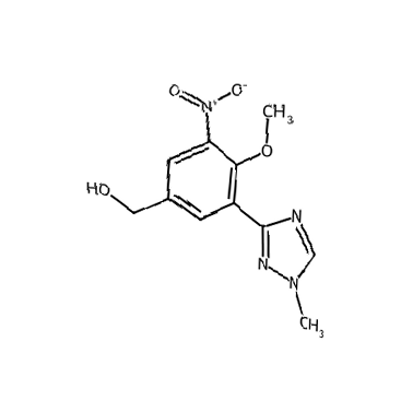 COc1c(-c2ncn(C)n2)cc(CO)cc1[N+](=O)[O-]